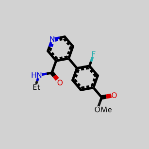 CCNC(=O)c1cnccc1-c1ccc(C(=O)OC)cc1F